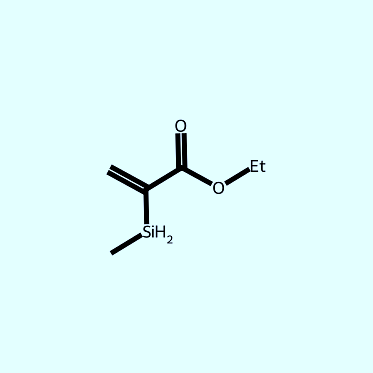 C=C([SiH2]C)C(=O)OCC